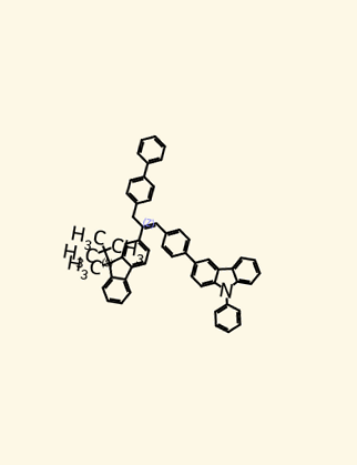 CC(C)(C)[C@@]1(C)c2ccccc2-c2ccc(/C(=C\c3ccc(-c4ccc5c(c4)c4ccccc4n5-c4ccccc4)cc3)Cc3ccc(-c4ccccc4)cc3)cc21